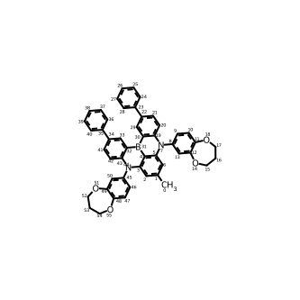 Cc1cc2c3c(c1)N(c1ccc4c(c1)OCCCO4)c1ccc(-c4ccccc4)cc1B3c1cc(-c3ccccc3)ccc1N2c1ccc2c(c1)OCCCO2